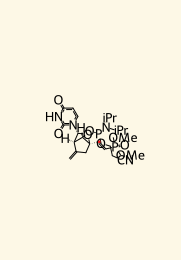 C=C1C[C@]2(/C=C/P(=O)(OC)OC)O[C@@H](n3ccc(=O)[nH]c3=O)[C@H]1[C@@H]2OP(OCCC#N)N(C(C)C)C(C)C